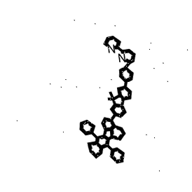 CC1(C)c2cc(-c3ccc(-c4cccc(-c5ccccn5)n4)cc3)ccc2-c2ccc(-c3ccc4c5c(cccc35)-c3c-4c(-c4ccccc4)c4ccccc4c3-c3ccccc3)cc21